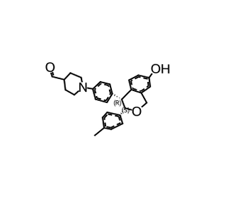 Cc1ccc([C@H]2OCc3cc(O)ccc3[C@H]2c2ccc(N3CCC(C=O)CC3)cc2)cc1